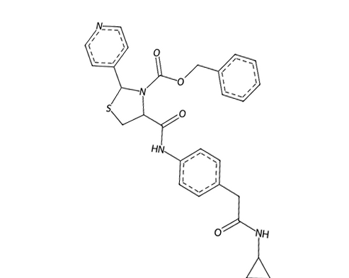 O=C(Cc1ccc(NC(=O)C2CSC(c3ccncc3)N2C(=O)OCc2ccccc2)cc1)NC1CC1